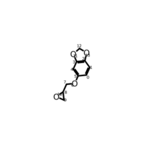 c1cc2c(cc1OCC1CO1)OCO2